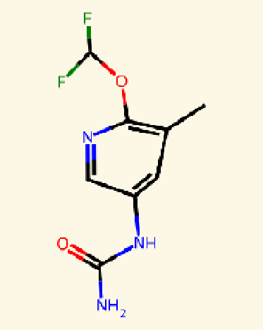 Cc1cc(NC(N)=O)cnc1OC(F)F